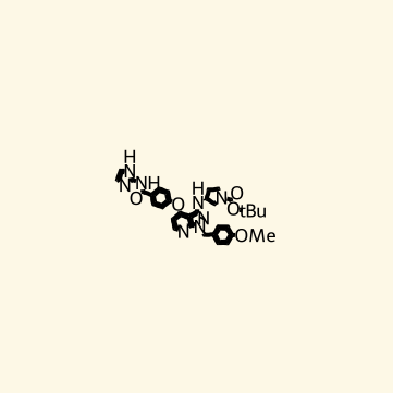 COc1ccc(Cn2nc(N[C@@H]3CCN(C(=O)OC(C)(C)C)C3)c3c(Oc4ccc(C(=O)Nc5ncc[nH]5)cc4)ccnc32)cc1